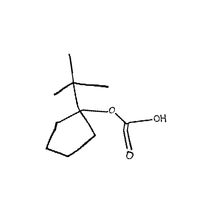 CC(C)(C)C1(OC(=O)O)CCCC1